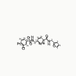 O=C(NCc1ccco1)c1ccc(CNS(=O)(=O)c2ccc(F)c(Cl)c2)nn1